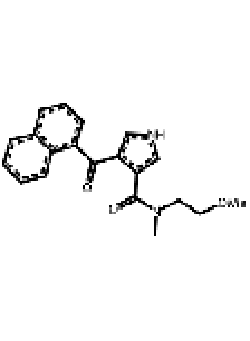 COCCN(C)C(=O)c1c[nH]cc1C(=O)c1cccc2ccccc12